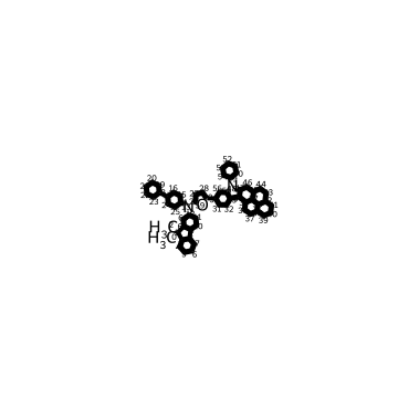 CC1(C)c2ccccc2-c2ccc(N(c3ccc(-c4ccccc4)cc3)c3ccc(-c4ccc5c6c7ccc8cccc9ccc(cc6n(-c6ccccc6)c5c4)c7c98)o3)cc21